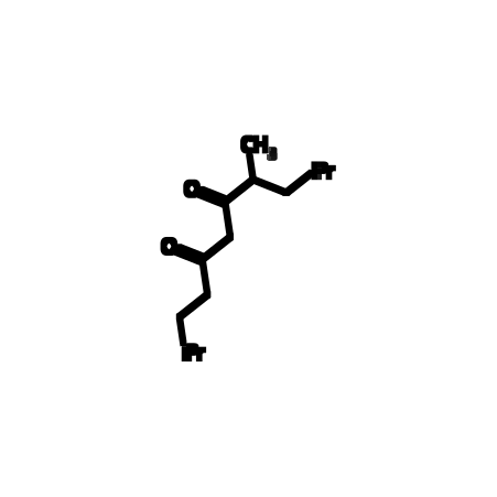 CC(C)CCC(=O)CC(=O)C(C)CC(C)C